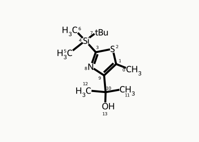 Cc1sc([Si](C)(C)C(C)(C)C)nc1C(C)(C)O